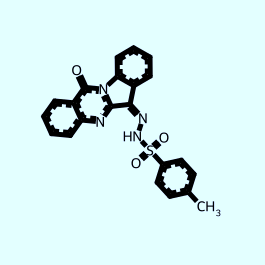 Cc1ccc(S(=O)(=O)N/N=C2/c3ccccc3-n3c2nc2ccccc2c3=O)cc1